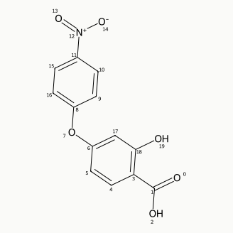 O=C(O)c1ccc(Oc2ccc([N+](=O)[O-])cc2)cc1O